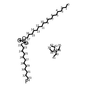 CCCCCCCCCCCCCCCCCCOS(=O)(=O)CCCCCCCCCCCCF.CC[N+](CC)(CC)CC